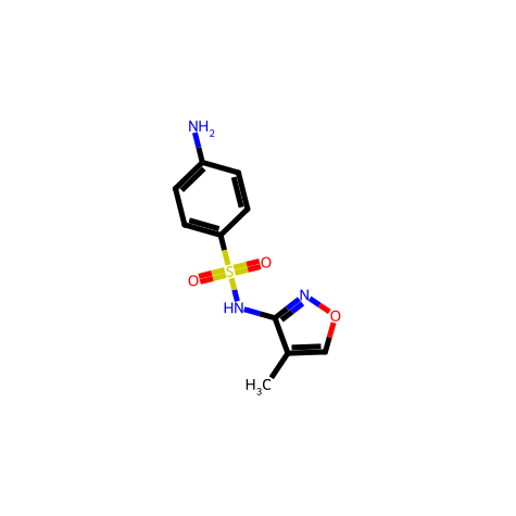 Cc1conc1NS(=O)(=O)c1ccc(N)cc1